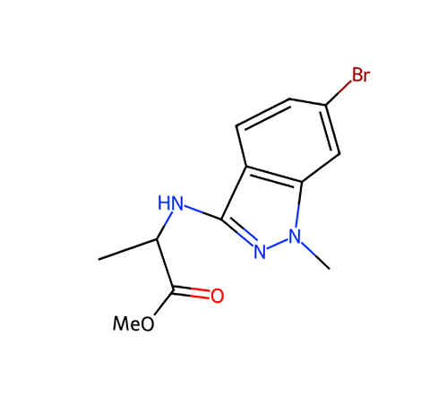 COC(=O)C(C)Nc1nn(C)c2cc(Br)ccc12